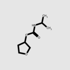 CC(C)NC(=O)OC1CCOC1